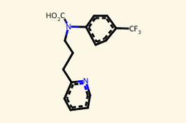 O=C(O)N(CCCc1ccccn1)c1ccc(C(F)(F)F)cc1